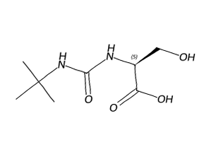 CC(C)(C)NC(=O)N[C@@H](CO)C(=O)O